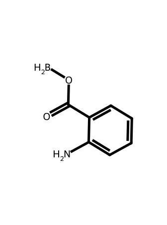 BOC(=O)c1ccccc1N